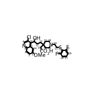 COc1ccc2ncc(Cl)c([C@@H](O)CCC3(CC(=O)O)CCN(CCSc4c(F)cccc4F)CC3)c2c1